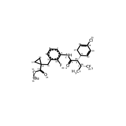 C[C@H]([C@H](C(=O)Nc1cccc(CC2(C(=O)OC(C)(C)C)CC2)c1F)C1C=CC(Cl)=CC1)C(F)(F)F